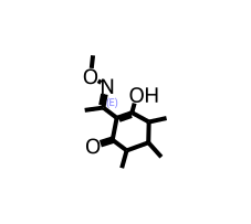 CO/N=C(\C)C1=C(O)C(C)C(C)C(C)C1=O